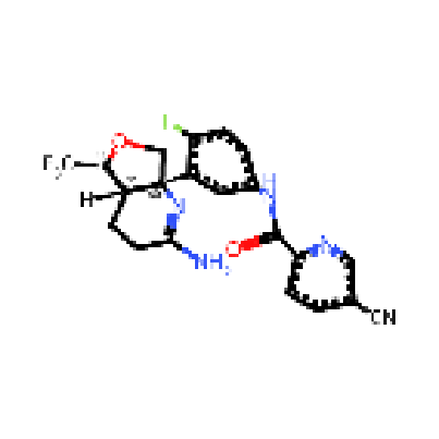 N#Cc1ccc(C(=O)Nc2ccc(F)c([C@]34CO[C@H](C(F)(F)F)[C@H]3CCC(N)=N4)c2)nc1